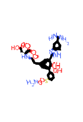 N=C(N)c1ccc2[nH]c(-c3cc(CC(=O)N[C@H](CC(=O)O)C(=O)O)cc(-c4cc(SOON)ccc4O)c3O)nc2c1